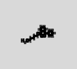 CCCCCCOC(=O)c1ccccc1C(=O)c1ccccc1